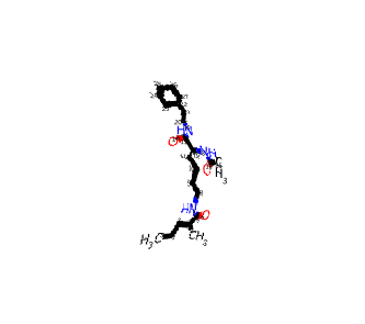 CCC=C(C)C(=O)NCCCC[C@H](NC(C)=O)C(=O)N[CH]Cc1ccccc1